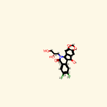 O=C1c2cc3c(cc2-c2c1c1cc(F)c(F)cc1c(=O)n2C[C@H](O)CO)OCO3